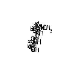 [13CH3][15N]([13CH3])CC1CCC[15N]1[13CH2][13C](=O)NCCC(=O)N[13CH2][13CH2][13C](=O)O